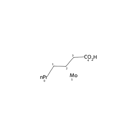 CCCCCCC(=O)O.[Mo]